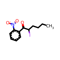 CCCCC(I)C(=O)c1ccccc1[N+](=O)[O-]